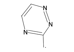 [CH2]c1nccnn1